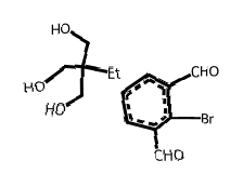 CCC(CO)(CO)CO.O=Cc1cccc(C=O)c1Br